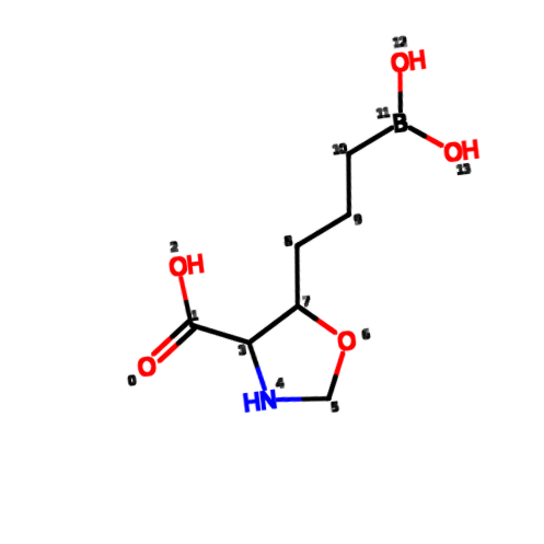 O=C(O)C1NCOC1CCCB(O)O